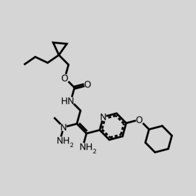 CCCC1(COC(=O)NC/C(=C(/N)c2ccc(OC3CCCCC3)cn2)N(C)N)CC1